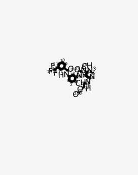 Cc1ccc(NC(=O)c2cccc(C(F)(F)F)c2)cc1NC(=O)N(C)c1cc(NCCOC=O)ncn1